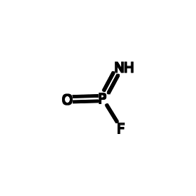 N=P(=O)F